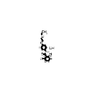 CCOCCOc1ccc(PC(=O)c2c(Cl)cccc2Cl)cc1.[LiH]